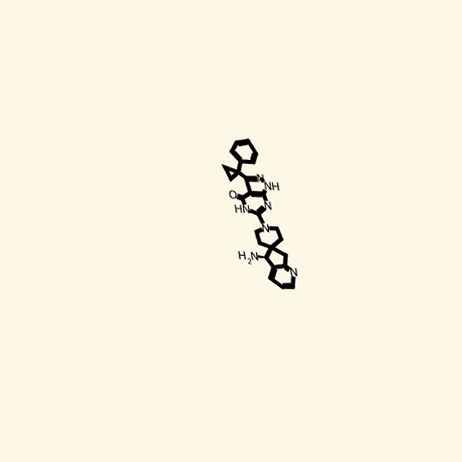 N[C@@H]1c2cccnc2CC12CCN(c1nc3[nH]nc(C4(c5ccccc5)CC4)c3c(=O)[nH]1)CC2